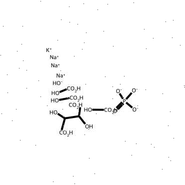 O=C(O)C(O)C(O)C(=O)O.O=C(O)O.O=C(O)O.O=C(O)O.O=P([O-])([O-])[O-].[K+].[Na+].[Na+].[Na+].[OH-]